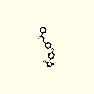 O=C(C=Cc1ccc(Oc2ccc(N3C(=O)C=CC3=O)cc2)cc1)c1ccccc1